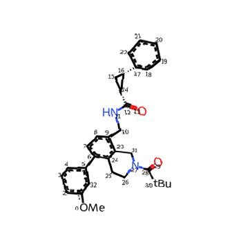 COc1cccc(-c2ccc(CNC(=O)[C@@H]3C[C@@H]3c3ccccc3)c3c2CCN(C(=O)C(C)(C)C)C3)c1